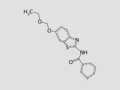 CCOCOc1ccc2nc(NC(=O)c3c[c]ccc3)sc2c1